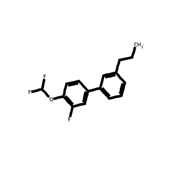 [CH2]CCc1cccc(-c2ccc(OC(F)F)c(F)c2)c1